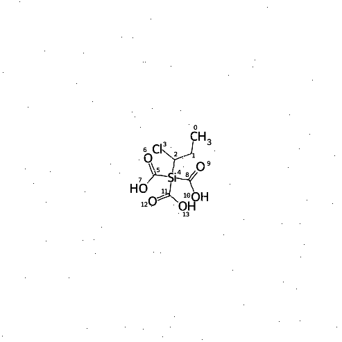 CCC(Cl)[Si](C(=O)O)(C(=O)O)C(=O)O